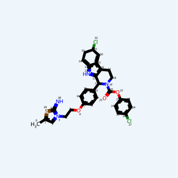 Cc1cn(CCOc2ccc(C3c4[nH]c5c(c4CCN3C(=O)Oc3ccc(Cl)cc3)=CC(Cl)CC=5)cc2)c(=N)s1